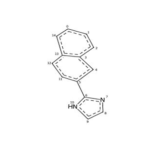 c1ccc2cc(-c3ncc[nH]3)ccc2c1